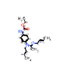 C/C=C/CN=C(C)N(C/C=C/C)c1ccc(NC(=O)OCC)cc1